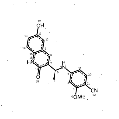 COc1cc(N[C@@H](C)c2cc3cc(O)ccc3[nH]c2=O)ccc1C#N